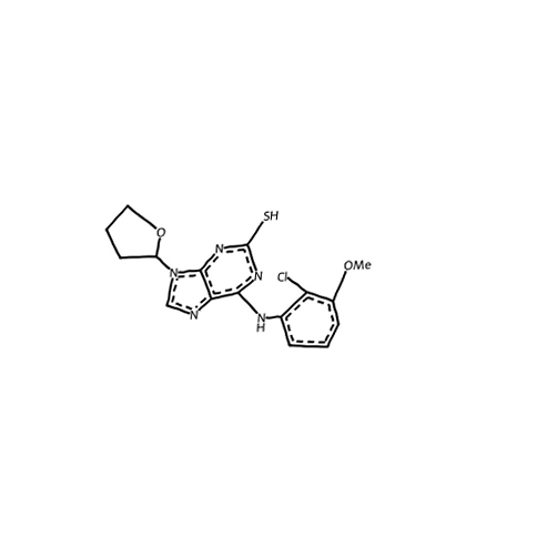 COc1cccc(Nc2nc(S)nc3c2ncn3C2CCCO2)c1Cl